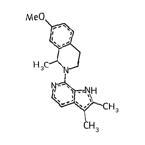 COc1ccc2c(c1)C(C)N(c1nccc3c(C)c(C)[nH]c13)CC2